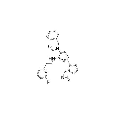 NCc1ccsc1-c1ccc(N(C=O)Cc2cccnc2)c(NCCc2cccc(F)c2)n1